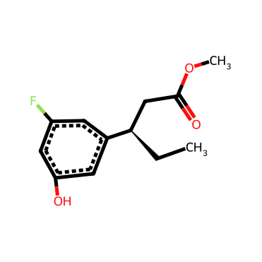 CC[C@H](CC(=O)OC)c1cc(O)cc(F)c1